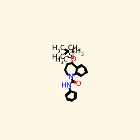 CC(C)(C)[Si](C)(C)OC1CCCN(C(=O)Nc2ccccc2)c2ccccc21